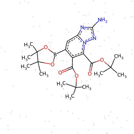 CC(C)(C)OC(=O)c1c(B2OC(C)(C)C(C)(C)O2)cc2nc(N)nn2c1C(=O)OC(C)(C)C